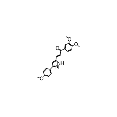 COc1ccc(-c2cc(C=CC(=O)c3ccc(OC)c(OC)c3)[nH]n2)cc1